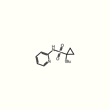 CC(C)(C)C1(S(=O)(=O)Nc2ccccn2)CC1